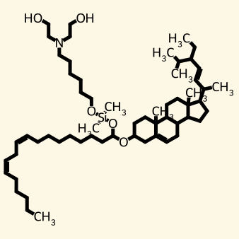 CCCCC/C=C\C/C=C\CCCCCCCC(OC1CCC2(C)C(=CCC3C2CCC2(C)C(C(C)/C=C/C(CC)C(C)C)CCC32)C1)O[Si](C)(C)OCCCCCCN(CCO)CCO